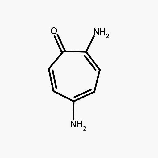 Nc1ccc(N)c(=O)cc1